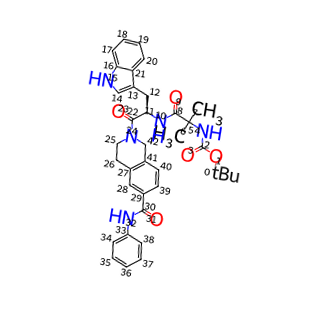 CC(C)(C)OC(=O)NC(C)(C)C(=O)N[C@H](Cc1c[nH]c2ccccc12)C(=O)N1CCc2cc(C(=O)Nc3ccccc3)ccc2C1